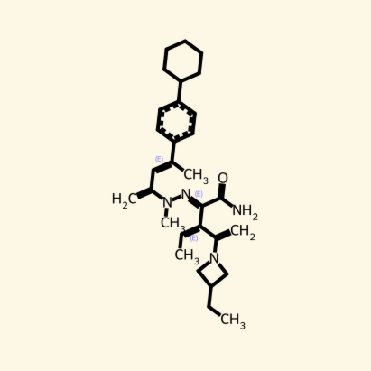 C=C(C(=C\C)/C(=N\N(C)C(=C)/C=C(\C)c1ccc(C2CCCCC2)cc1)C(N)=O)N1CC(CC)C1